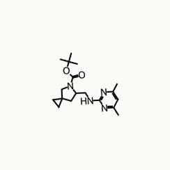 Cc1cc(C)nc(NCC2CC3(CC3)CN2C(=O)OC(C)(C)C)n1